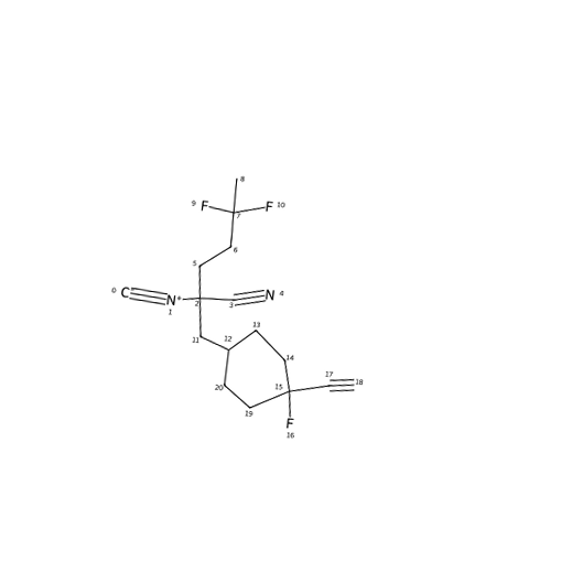 [C-]#[N+]C(C#N)(CCC(C)(F)F)CC1CCC(F)(C#C)CC1